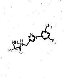 CC(C)[C@@H](N)C(=O)NCc1cn(-c2cc(C(F)(F)F)cc(C(F)(F)F)c2)nn1